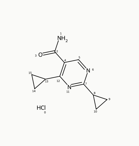 Cl.NC(=O)c1cnc(C2CC2)nc1C1CC1